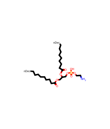 CCCCCCCCCCCCCCCCCCC(=O)OCC(COP(=O)(O)OCCN)OC(=O)CCCCCCCCCCCCCCCCCC